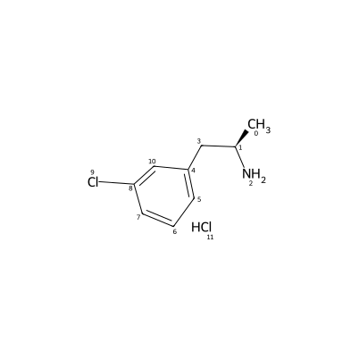 C[C@@H](N)Cc1cccc(Cl)c1.Cl